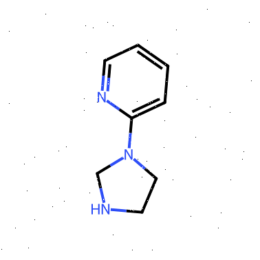 c1ccc(N2CCNC2)nc1